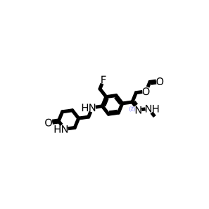 CN/N=C(\COC=O)c1ccc(NCC2CCC(=O)NC2)c(CF)c1